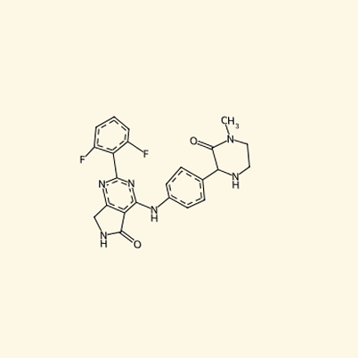 CN1CCNC(c2ccc(Nc3nc(-c4c(F)cccc4F)nc4c3C(=O)NC4)cc2)C1=O